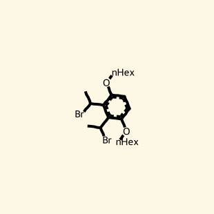 CCCCCCOc1ccc(OCCCCCC)c(C(C)Br)c1C(C)Br